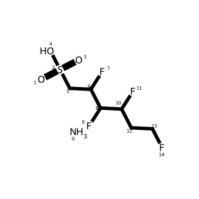 N.O=S(=O)(O)CC(F)C(F)C(F)CCF